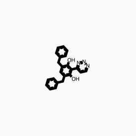 Oc1c(Cc2ccccc2)cc(Cc2ccccc2)c(O)c1-c1ccnnn1